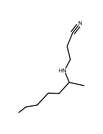 CCCCCC(C)NCCC#N